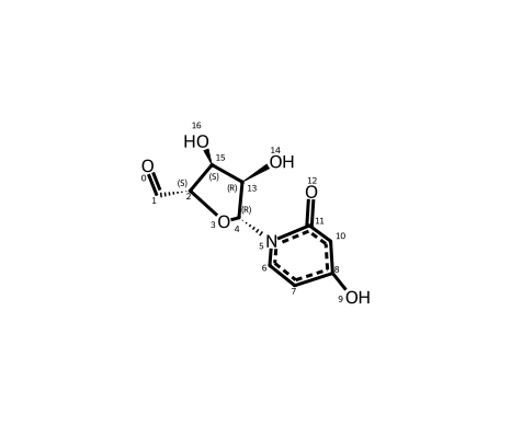 O=C[C@H]1O[C@@H](n2ccc(O)cc2=O)[C@H](O)[C@@H]1O